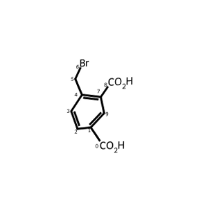 O=C(O)c1ccc(CBr)c(C(=O)O)c1